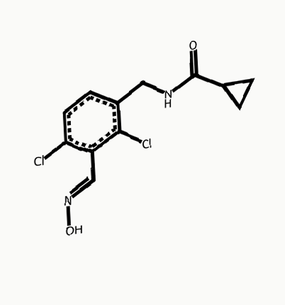 O=C(NCc1ccc(Cl)c(C=NO)c1Cl)C1CC1